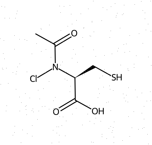 CC(=O)N(Cl)[C@@H](CS)C(=O)O